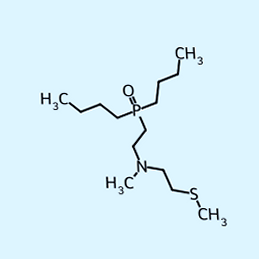 CCCCP(=O)(CCCC)CCN(C)CCSC